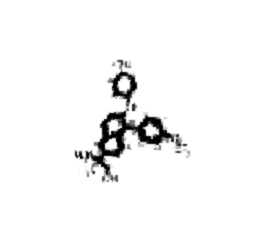 CC(C)(C)[C@H]1CC[C@H](Oc2ccc3cc([C@@](C)(N)CO)ccc3c2-c2ccc(OC(F)(F)F)cc2)CC1